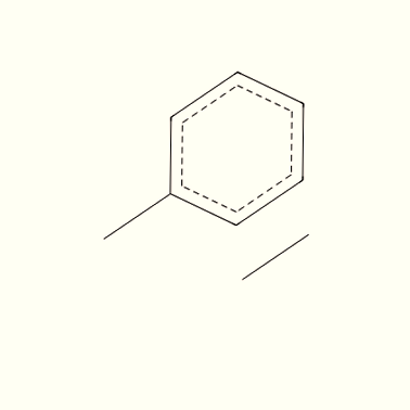 CC.Cc1ccccc1